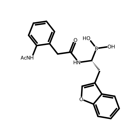 CC(=O)Nc1ccccc1CC(=O)N[C@@H](Cc1coc2ccccc12)B(O)O